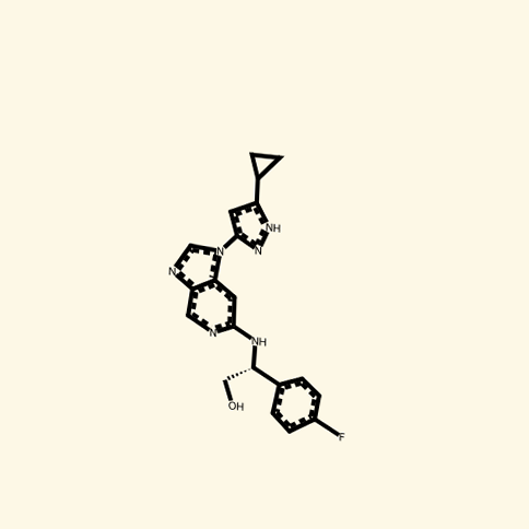 OC[C@H](Nc1cc2c(cn1)ncn2-c1cc(C2CC2)[nH]n1)c1ccc(F)cc1